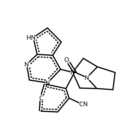 N#Cc1ccccc1C(=O)N1C2CCC1CN(c1ncnc3[nH]ccc13)C2